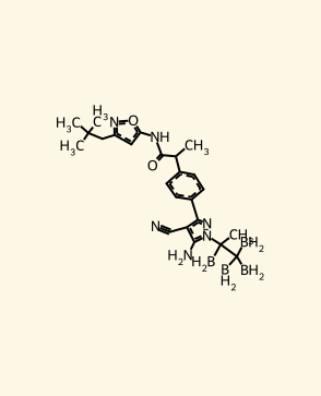 BC(B)(B)C(B)(C)n1nc(-c2ccc(C(C)C(=O)Nc3cc(CC(C)(C)C)no3)cc2)c(C#N)c1N